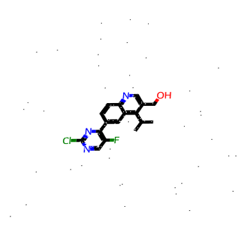 CC(C)c1c(CO)cnc2ccc(-c3nc(Cl)ncc3F)cc12